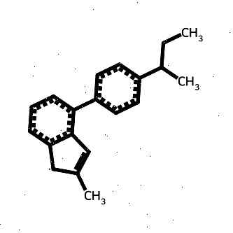 CCC(C)c1ccc(-c2cccc3c2C=C(C)[CH]3)cc1